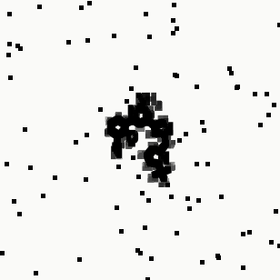 COc1c(C#N)cccc1-c1cc(-c2cnn(Cc3cccc(C(C)(C)C)n3)c2)nc(N)n1